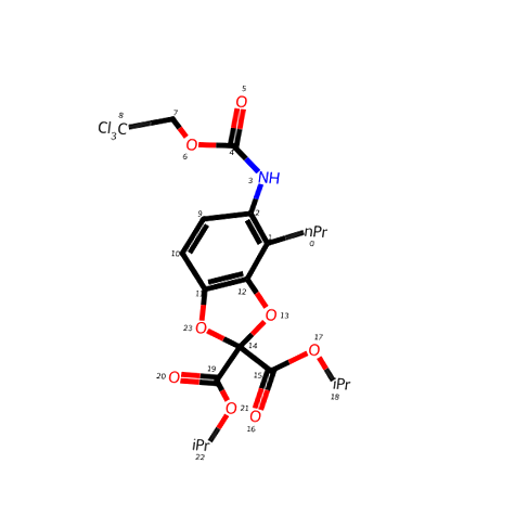 CCCc1c(NC(=O)OCC(Cl)(Cl)Cl)ccc2c1OC(C(=O)OC(C)C)(C(=O)OC(C)C)O2